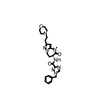 CN1C(=O)[C@H](NC(=O)c2ncn(Cc3ccccc3)n2)CCn2nc(CCN3CCOCC3)cc21